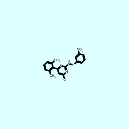 Cc1cccc(C)c1-c1cc(Cl)nc(NSc2cccc([N+](=O)[O-])c2)n1